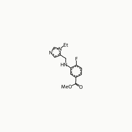 CCn1cncc1CNc1cc(C(=O)OC)ccc1F